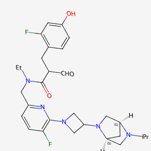 CCN(Cc1ccc(F)c(N2CC(N3C[C@@H]4C[C@H]3CN4C(C)C)C2)n1)C(=O)C(C=O)Cc1ccc(O)cc1F